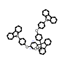 C=C(/C=C\C(=C/C)Oc1ccc(-n2c3ccccc3c3ccccc32)cc1)C1(c2ccc(Oc3ccc(-n4c5ccccc5c5ccccc54)cc3)cc2)c2ccccc2-c2ccccc21